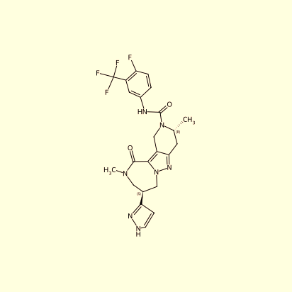 C[C@@H]1Cc2nn3c(c2CN1C(=O)Nc1ccc(F)c(C(F)(F)F)c1)C(=O)N(C)C[C@H](c1cc[nH]n1)C3